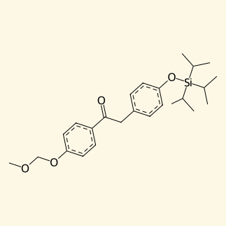 COCOc1ccc(C(=O)Cc2ccc(O[Si](C(C)C)(C(C)C)C(C)C)cc2)cc1